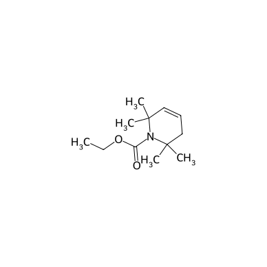 CCOC(=O)N1C(C)(C)C=CCC1(C)C